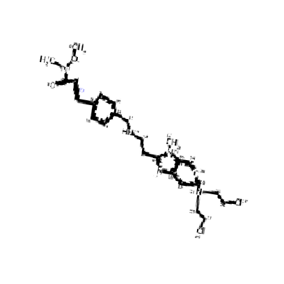 CON(C)C(=O)/C=C/c1ccc(CNCCc2nc3cc(N(CCCl)CCCl)ccc3n2C)cc1